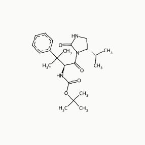 CC(C)[C@H]1CNC(=O)N1C(=O)[C@@H](NC(=O)OC(C)(C)C)C(C)(C)c1ccccc1